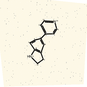 c1cc(-c2ccc3c(c2)CCN3)ccn1